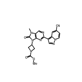 Cn1c(=O)n(C2CN(C(=O)OC(C)(C)C)C2)c2nc(-c3cnn4ccc(C#N)cc34)ncc21